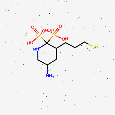 NC1CNC(P(=O)(O)O)(P(=O)(O)O)C(CCCS)C1